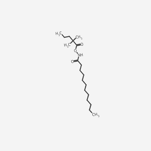 CCCCCCCCCCCC(=O)NOC(=O)C(C)(C)CCC